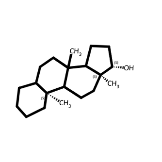 CC12CCC3CCCC[C@]3(C)C1CC[C@@]1(C)C2CC[C@@H]1O